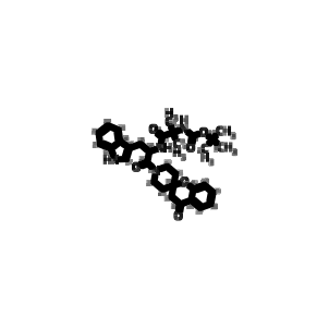 CC(C)(C)OC(=O)NC(C)(C)C(=O)NC(Cc1c[nH]c2ccccc12)C(=O)N1CCC2(CC1)CC(=O)c1ccccc1O2